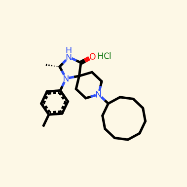 Cc1ccc(N2[C@H](C)NC(=O)C23CCN(C2CCCCCCCCC2)CC3)cc1.Cl